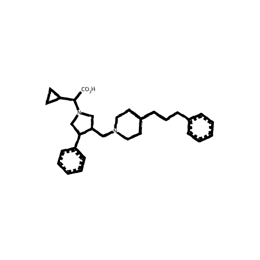 O=C(O)C(C1CC1)N1CC(CN2CCC(CCCc3ccccc3)CC2)C(c2ccccc2)C1